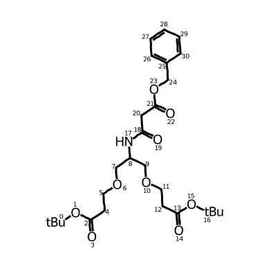 CC(C)(C)OC(=O)CCOCC(COCCC(=O)OC(C)(C)C)NC(=O)CC(=O)OCc1ccccc1